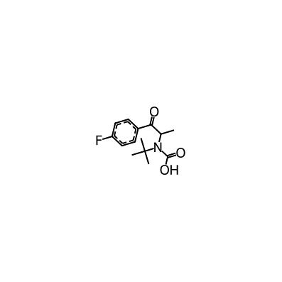 CC(C(=O)c1ccc(F)cc1)N(C(=O)O)C(C)(C)C